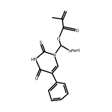 C=C(C)C(=O)OC(CCCCC)n1cc(-c2ccccc2)c(=O)[nH]c1=S